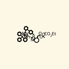 CCCc1nc2c(n1Cc1ccc(-c3ccccc3-c3nnn(C(c4ccccc4)(c4ccccc4)c4ccccc4)n3)cc1)C(=CC(=O)OC(C)OC(=O)OCC)CCCC2